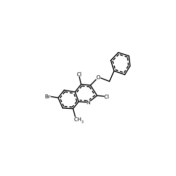 Cc1cc(Br)cc2c(Cl)c(OCc3ccccc3)c(Cl)nc12